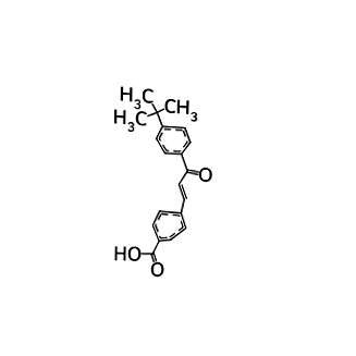 CC(C)(C)c1ccc(C(=O)C=Cc2ccc(C(=O)O)cc2)cc1